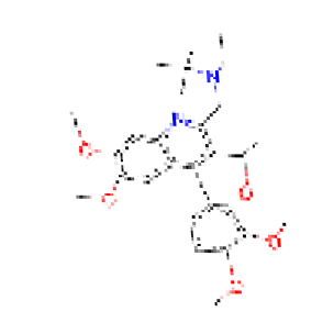 CCN(Cc1nc2cc(OC)c(OC)cc2c(-c2ccc(OC)c(OC)c2)c1C(C)=O)C(C)(C)C